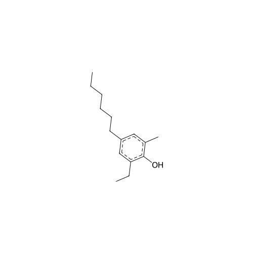 CCCCCCc1cc(C)c(O)c(CC)c1